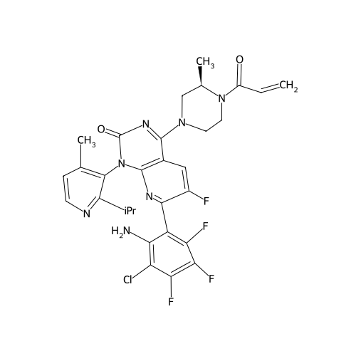 C=CC(=O)N1CCN(c2nc(=O)n(-c3c(C)ccnc3C(C)C)c3nc(-c4c(N)c(Cl)c(F)c(F)c4F)c(F)cc23)C[C@H]1C